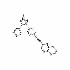 Cn1cc(-c2ccncc2)c(-c2ccc(C#Cc3ccc4ncccc4n3)cc2)n1